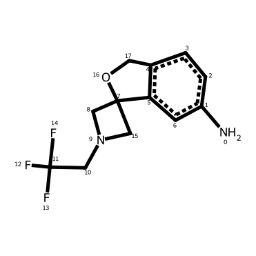 Nc1ccc2c(c1)C1(CN(CC(F)(F)F)C1)OC2